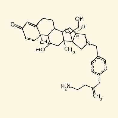 C=C(CCN)Cc1ccc(CN2C[C@@H]3CC4C5CCC6=CC(=O)C=CC6(C)C5C(O)CC4(C)C3(C(=O)CO)C2)cc1